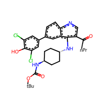 CCCC(=O)c1cnc2ccc(-c3cc(Cl)c(O)c(Cl)c3)cc2c1N[C@H]1CC[C@H](NC(=O)OC(C)(C)C)CC1